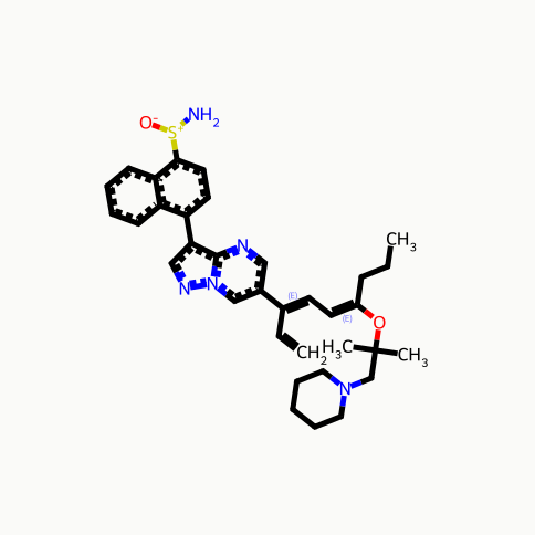 C=C/C(=C\C=C(/CCC)OC(C)(C)CN1CCCCC1)c1cnc2c(-c3ccc([S+](N)[O-])c4ccccc34)cnn2c1